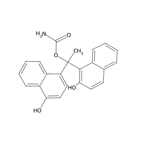 CC(OC(N)=O)(c1c(O)ccc2ccccc12)c1ccc(O)c2ccccc12